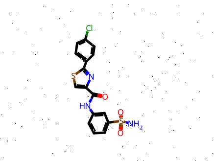 NS(=O)(=O)c1cccc(NC(=O)c2csc(-c3ccc(Cl)cc3)n2)c1